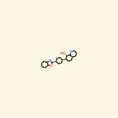 Oc1c(-c2ccc(-c3nc4ccccc4o3)cc2)ccc2cccnc12